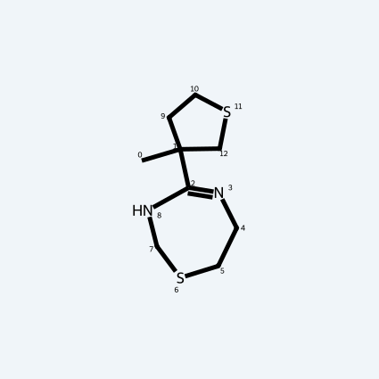 CC1(C2=NCCSCN2)CCSC1